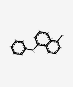 Cc1cccc2c(Oc3ccccc3)cccc12